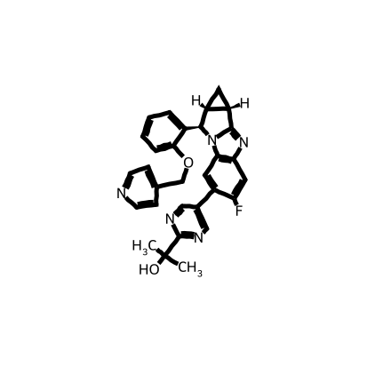 CC(C)(O)c1ncc(-c2cc3c(cc2F)nc2n3[C@@H](c3ccccc3OCc3ccncc3)[C@@H]3C[C@H]23)cn1